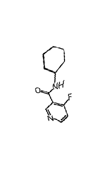 O=C(NC1CCCCC1)c1cnccc1F